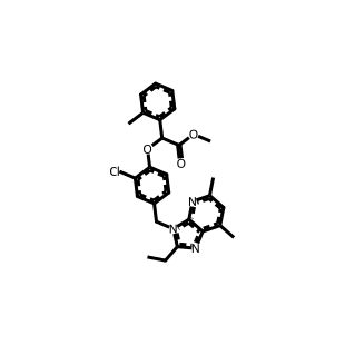 CCc1nc2c(C)cc(C)nc2n1Cc1ccc(OC(C(=O)OC)c2ccccc2C)c(Cl)c1